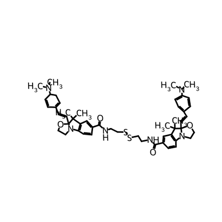 CN(C)c1ccc(/C=C/C23OCCN2c2ccc(C(=O)NCCSSCCNC(=O)c4ccc5c(c4)C(C)(C)C4(/C=C/C6=CCC(N(C)C)C=C6)OCCN54)cc2C3(C)C)cc1